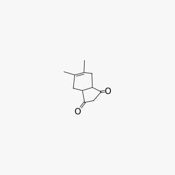 CC1=C(C)CC2C(=O)CC(=O)C2C1